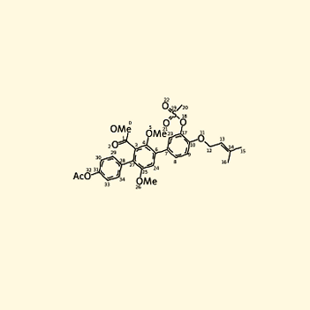 COC(=O)c1c(OC)c(-c2ccc(OCC=C(C)C)c(OS(C)(=O)=O)c2)cc(OC)c1-c1ccc(OC(C)=O)cc1